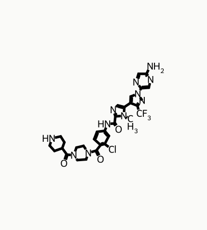 Cn1c(-c2cn(-c3cnc(N)cn3)nc2C(F)(F)F)cnc1C(=O)Nc1ccc(C(=O)N2CCN(C(=O)C3CCNCC3)CC2)c(Cl)c1